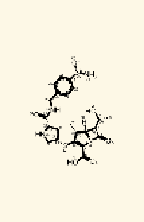 C[C@@H](O)[C@H]1C(=O)N2C(C(=O)O)=C(S[C@@H]3CN[C@H](C(=O)NCc4ccc([S+](N)[O-])cc4)C3)[C@H](C)[C@H]12